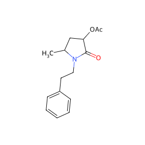 CC(=O)OC1CC(C)N(CCc2ccccc2)C1=O